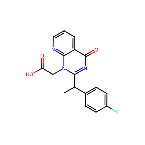 CC(c1ccc(F)cc1)c1nc(=O)c2cccnc2n1CC(=O)O